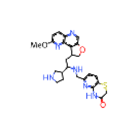 COc1ccc2ncc3c(c2n1)C(CC(NCc1ccc2c(n1)NC(=O)CS2)[C@H]1CCNC1)CO3